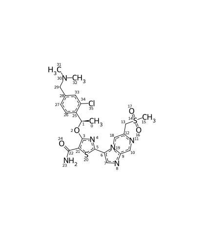 C[C@@H](Oc1nc(-c2cnc3cnc(CS(C)(=O)=O)cn23)sc1C(N)=O)c1ccc(CN(C)C)cc1Cl